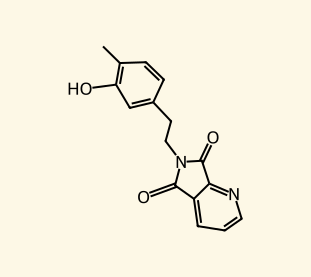 Cc1ccc(CCN2C(=O)c3cccnc3C2=O)cc1O